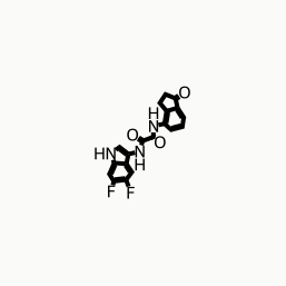 O=C(Nc1cccc2c1CCC2=O)C(=O)Nc1c[nH]c2cc(F)c(F)cc12